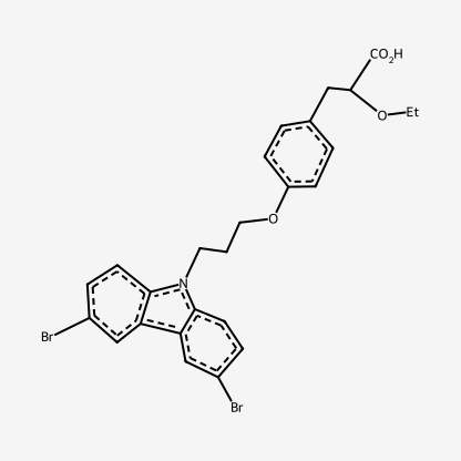 CCOC(Cc1ccc(OCCCn2c3ccc(Br)cc3c3cc(Br)ccc32)cc1)C(=O)O